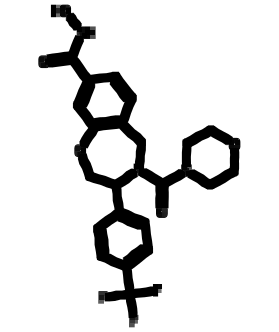 O=C(NO)c1ccc2c(c1)OCC(c1ccc(C(F)(F)F)cc1)N(C(=O)N1CCOCC1)C2